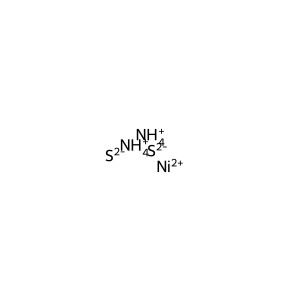 [NH4+].[NH4+].[Ni+2].[S-2].[S-2]